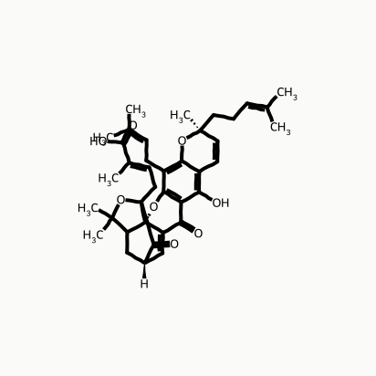 CC(C)=CCC[C@@]1(C)C=Cc2c(O)c3c(c(CC=C(C)C)c2O1)O[C@]12C(=C[C@@H]4CC1C(C)(C)OC2(C/C=C(\C)C(=O)O)C4=O)C3=O